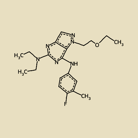 CCOCCn1ncc2nc(N(CC)CC)nc(Nc3ccc(F)c(C)c3)c21